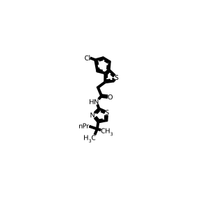 CCCC(C)(C)c1csc(NC(=O)Cc2csc3ccc(Cl)cc23)n1